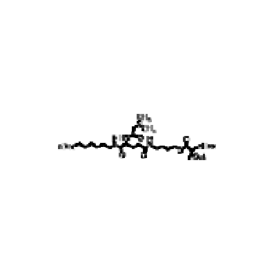 CCCCCCCCCCCCCCCCNC(=O)C(CCC(=O)NCCCCOC(=O)C(CCCCCC)CCCCCCCC)NC(=O)CN(C)C